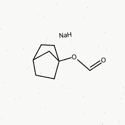 O=COC12CCC(CC1)C2.[NaH]